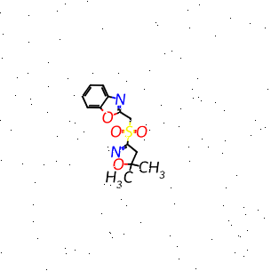 CC1(C)CC(S(=O)(=O)Cc2nc3ccccc3o2)=NO1